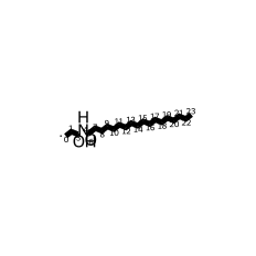 [CH2]CC(O)NC(=O)CCCCCCCCCCCCCCCCC